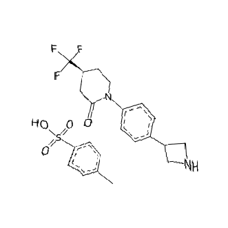 Cc1ccc(S(=O)(=O)O)cc1.O=C1C[C@@H](C(F)(F)F)CCN1c1ccc(C2CNC2)cc1